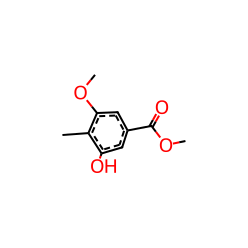 COC(=O)c1cc(O)c(C)c(OC)c1